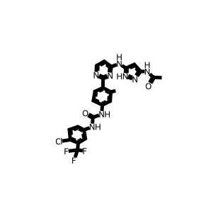 CC(=O)Nc1cc(Nc2ccnc(-c3ccc(NC(=O)Nc4ccc(Cl)c(C(F)(F)F)c4)cc3C)n2)[nH]n1